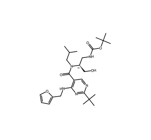 CC(C)CN(C(=O)c1cnc(C(C)(C)C)nc1NCc1ccco1)[C@H](CO)CNC(=O)OC(C)(C)C